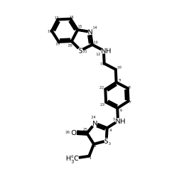 CCC1SC(Nc2ccc(CCNc3nc4ccccc4s3)cc2)=NC1=O